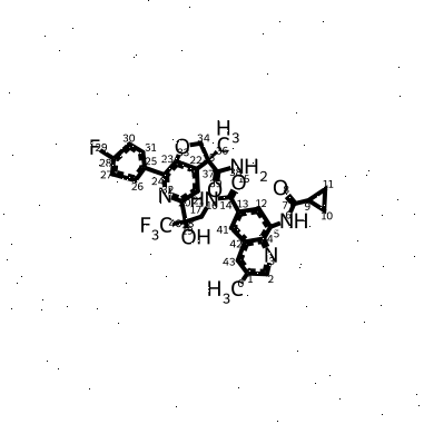 Cc1cnc2c(NC(=O)C3CC3)cc(C(=O)NCC(O)(c3cc4c(c(-c5ccc(F)cc5)n3)OC[C@]4(C)C(N)=O)C(F)(F)F)cc2c1